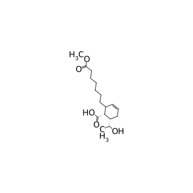 COC(=O)CCCCCCC1C=CC[C@H](C(C)O)[C@@H]1C(=O)O